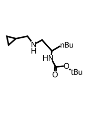 CCCCC(CNCC1CC1)NC(=O)OC(C)(C)C